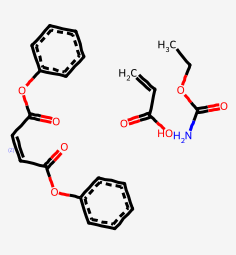 C=CC(=O)O.CCOC(N)=O.O=C(/C=C\C(=O)Oc1ccccc1)Oc1ccccc1